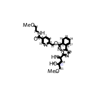 COCCNC(=O)c1ccc(COc2nn3c(C(=N)/C=C(\O)COC)nnc3c3ccccc23)nc1